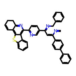 C=N/C(=C\C(=N/Cc1ccccc1)c1ccc(-c2nc3c(c4sc5ccccc5c24)C=CCC3)nc1)c1ccc(-c2ccccc2)cc1